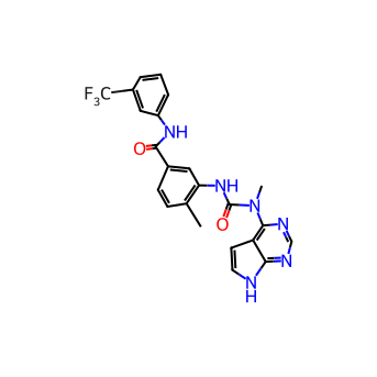 Cc1ccc(C(=O)Nc2cccc(C(F)(F)F)c2)cc1NC(=O)N(C)c1ncnc2[nH]ccc12